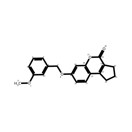 COc1cccc(COc2ccc3c4c(c(=O)oc3c2)CCC4)c1